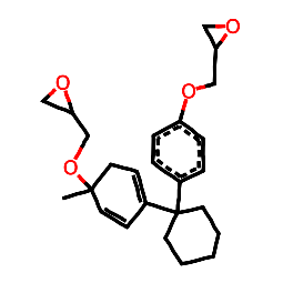 CC1(OCC2CO2)C=CC(C2(c3ccc(OCC4CO4)cc3)CCCCC2)=CC1